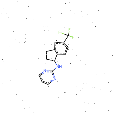 FC(F)(F)c1ccc2c(c1)CCC2Nc1ncccn1